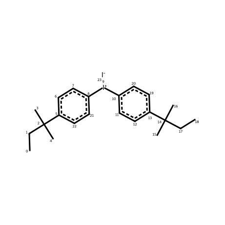 CCC(C)(C)c1ccc([I+]c2ccc(C(C)(C)CC)cc2)cc1.[I-]